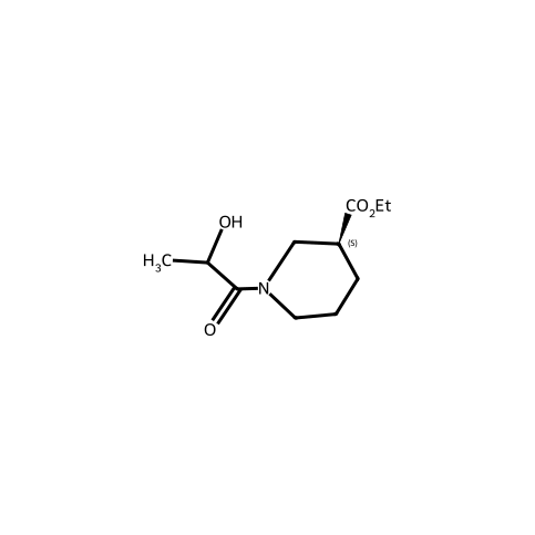 CCOC(=O)[C@H]1CCCN(C(=O)C(C)O)C1